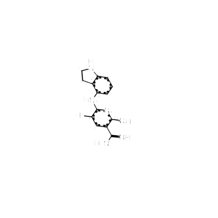 N=C(N)c1cc(F)c(Nc2cccc3c2CCN3)nc1N